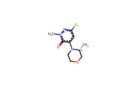 C[C@@H]1COCCN1c1cc(Cl)nn(C)c1=O